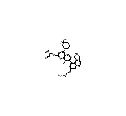 CCc1c(F)ccc2cc(OCOC)cc(-c3ncc4c(N5CCC[C@@](C)(O)C5)cc(OCC5(C=O)CC5)nc4c3F)c12